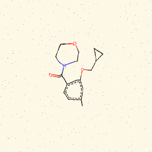 Cc1ccc(C(=O)N2CCOCC2)c(OCC2CC2)c1